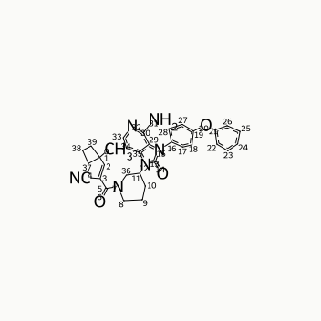 CC1(C=C(C#N)C(=O)N2CCCC(n3c(=O)n(-c4ccc(Oc5ccccc5)cc4)c4c(N)nccc43)C2)CCC1